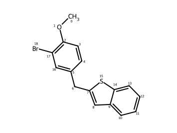 COc1ccc(Cc2cc3ccccc3s2)cc1Br